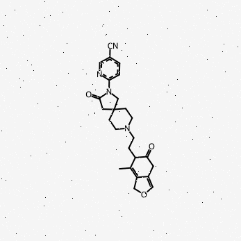 CC1=C2COC=C2CC(=O)C1CCN1CCC2(CC1)CC(=O)N(c1ccc(C#N)cn1)C2